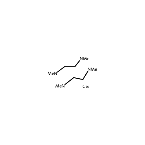 CNCCNC.CNCCNC.[Ge]